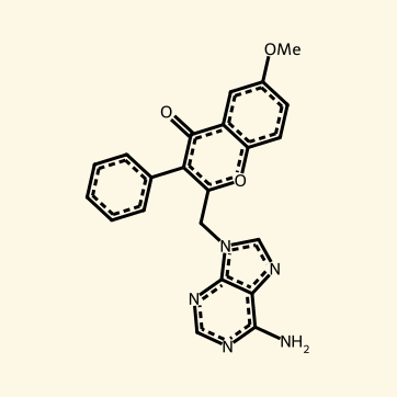 COc1ccc2oc(Cn3cnc4c(N)ncnc43)c(-c3ccccc3)c(=O)c2c1